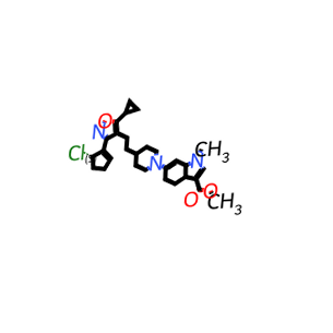 COC(=O)C1=CN(C)C2C=C(N3CCC(CCc4c(C5=CCC[C@@H]5Cl)noc4C4CC4)CC3)CCC12